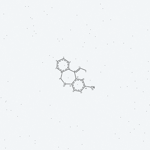 CC=C1c2ccccc2COc2ccc(C#N)cc21